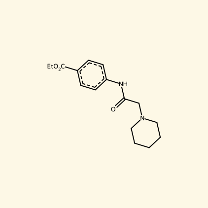 CCOC(=O)c1ccc(NC(=O)CN2CCCCC2)cc1